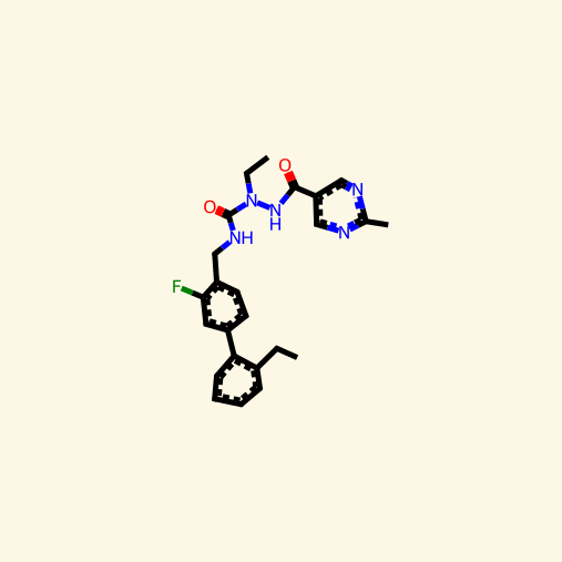 CCc1ccccc1-c1ccc(CNC(=O)N(CC)NC(=O)c2cnc(C)nc2)c(F)c1